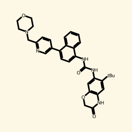 CC(C)(C)c1cc2c(cc1NC(=O)Nc1ccc(-c3ccc(CN4CCOCC4)nc3)c3ccccc13)OCC(=O)N2